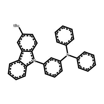 CC(C)(C)c1ccc2c(c1)c1ccccc1n2-c1cccc(N(c2ccccc2)c2ccccc2)c1